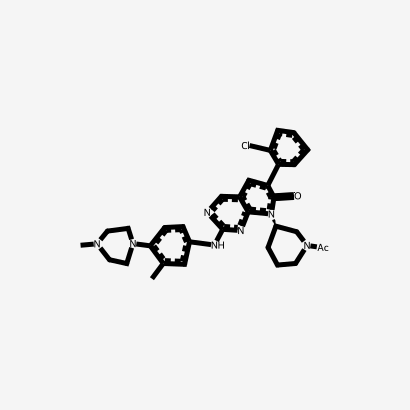 CC(=O)N1CCC[C@H](n2c(=O)c(-c3ccccc3Cl)cc3cnc(Nc4ccc(N5CCN(C)CC5)c(C)c4)nc32)C1